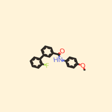 COc1ccc(NC(=O)c2cccc(-c3ccccc3F)c2)cc1